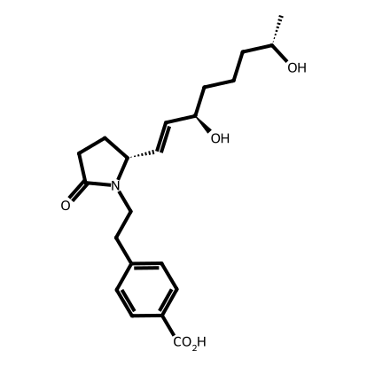 C[C@H](O)CCC[C@@H](O)/C=C/[C@H]1CCC(=O)N1CCc1ccc(C(=O)O)cc1